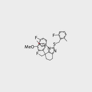 COc1cc(C2(CF)CCCc3nc(SCc4c(C)cccc4F)n(-c4ccc(F)cc4)c32)ccc1C